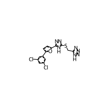 Clc1cc(Cl)cc(-c2ccc(-c3nnc(SCc4nnn[nH]4)[nH]3)o2)c1